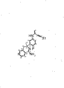 C=C(C#CCC)Nc1ccc(F)c(C2(C)Cc3cnccc3C(N)=N2)c1